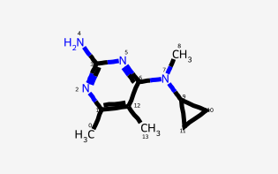 Cc1nc(N)nc(N(C)C2CC2)c1C